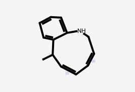 CC1/C=C\C=C/CNc2ccccc21